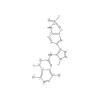 Cc1nc(-c2nnn(C)c2NC(=O)OC(C)c2cc(Cl)cnc2Cl)ccc1NS(C)(=O)=O